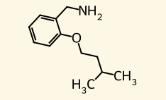 CC(C)CCOc1ccccc1CN